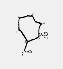 O.O=CC1CCCCC1